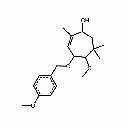 COc1ccc(COC2C=C(C)C(O)CC(C)(C)C2OC)cc1